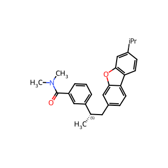 CC(C)c1ccc2c(c1)oc1cc(C[C@H](C)c3cccc(C(=O)N(C)C)c3)ccc12